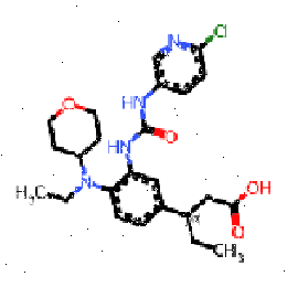 CC[C@H](CC(=O)O)c1ccc(N(CC)C2CCOCC2)c(NC(=O)Nc2ccc(Cl)nc2)c1